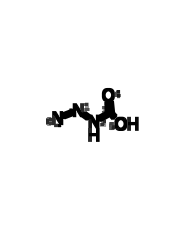 [N][N]NC(=O)O